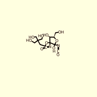 O=C=NC1(O)O[C@H](CO)[C@H](O)C1(N=C=O)OCCC(CO)(CO)CO